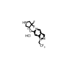 Cl.FC(F)(F)Cn1ncc2cnc(O[C@H]3CNCC3(F)F)cc21